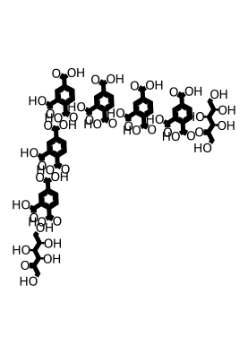 O=C(CO)[C@H](O)[C@@H](O)[C@H](O)CO.O=C(CO)[C@H](O)[C@@H](O)[C@H](O)CO.O=C(O)c1ccc(C(=O)O)c(C(=O)O)c1.O=C(O)c1ccc(C(=O)O)c(C(=O)O)c1.O=C(O)c1ccc(C(=O)O)c(C(=O)O)c1.O=C(O)c1ccc(C(=O)O)c(C(=O)O)c1.O=C(O)c1ccc(C(=O)O)c(C(=O)O)c1.O=C(O)c1ccc(C(=O)O)c(C(=O)O)c1